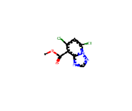 COC(=O)c1c(Cl)cc(Cl)n2ncnc12